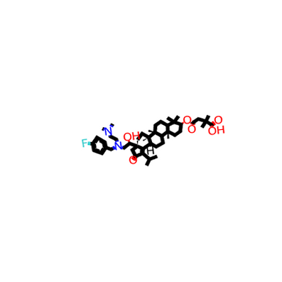 CC(C)C1=C2[C@H]3CCC4[C@@]5(C)CC[C@H](OC(=O)CC(C)(C)C(=O)O)C(C)(C)C5CC[C@@]4(C)[C@]3(C)CC[C@@]2([C@H](O)CN(CCN(C)C)Cc2ccc(F)cc2)CC1=O